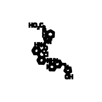 O=C(O)CNC1CCCn2nc(C(=O)Nc3cccc(-c4cccc(Nc5nccc6cc(CN7CC[C@@H](O)C7)cnc56)c4Cl)c3Cl)cc21